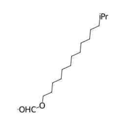 CC(C)CCCCCCCCCCCCO[C]=O